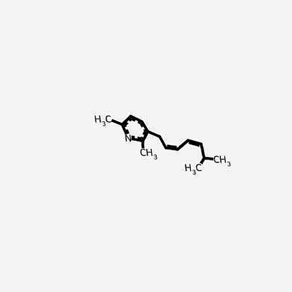 Cc1ccc(C/C=C\C=C/C(C)C)c(C)n1